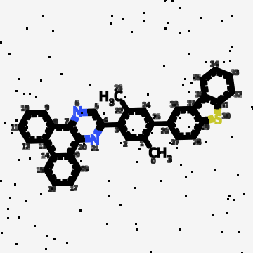 Cc1cc(-c2cnc3c4ccccc4c4ccccc4c3n2)c(C)cc1-c1ccc2sc3ccccc3c2c1